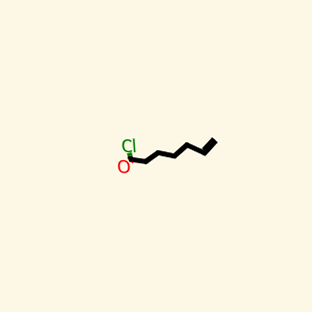 C=CCCCCC(=O)Cl